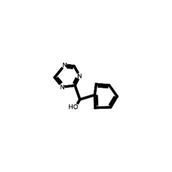 OC(c1ccccc1)c1ncncn1